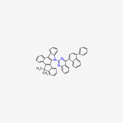 CC1(C)c2ccccc2-c2c1c1ccccc1c1c3ccccc3n(-c3nc(-c4ccc(-c5ccccc5)c5ccccc45)c4ccccc4n3)c21